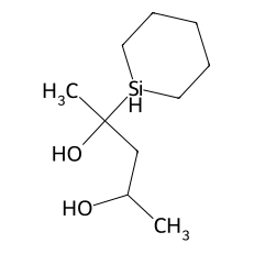 CC(O)CC(C)(O)[SiH]1CCCCC1